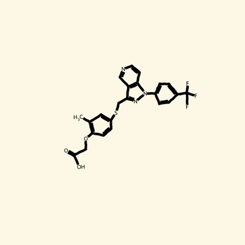 Cc1cc(SCc2nn(-c3ccc(C(F)(F)F)cc3)c3ccncc23)ccc1OCC(=O)O